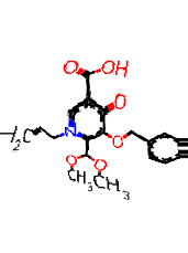 C=CCn1cc(C(=O)O)c(=O)c(OCc2ccccc2)c1C(OC)OC